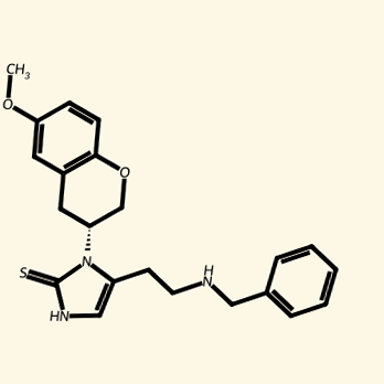 COc1ccc2c(c1)C[C@@H](n1c(CCNCc3ccccc3)c[nH]c1=S)CO2